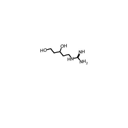 N=C(N)NCCC(O)CCO